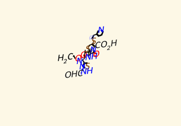 C=CCO/N=C(\C(=O)NC1C(=O)N2C(C(=O)O)=C(S/C=C\c3cccnc3)CS[C@H]12)c1csc(NC=O)n1